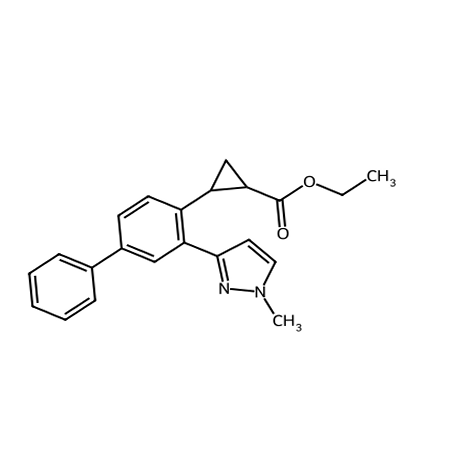 CCOC(=O)C1CC1c1ccc(-c2ccccc2)cc1-c1ccn(C)n1